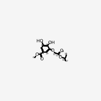 COC(=O)c1cc(O)c(O)c(OCC(=O)OC(C)C)c1